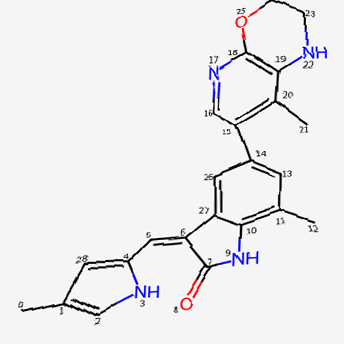 Cc1c[nH]c(/C=C2\C(=O)Nc3c(C)cc(-c4cnc5c(c4C)NCCO5)cc32)c1